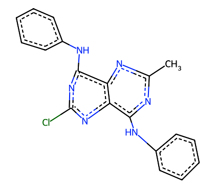 Cc1nc(Nc2ccccc2)c2nc(Cl)nc(Nc3ccccc3)c2n1